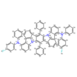 Fc1ccc(N(c2ccccc2)c2cccc3c2c2cccc4c5c(-c6ccccc6)c6c(c(-c7ccccc7)c5n3c24)c2cccc3c4c(N(c5ccccc5)c5ccc(F)cc5)cccc4n6c32)cc1